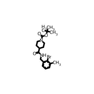 Cc1cccc(CNC(=O)C2CCN(C(=O)OC(C)(C)C)CC2)c1Br